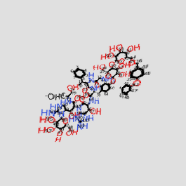 CC(c1ccccc1)[C@H](NC(=O)CN)C(=O)N[C@H](Cc1ccc(O[C@H]2O[C@H](CO)[C@@H](O[C@H]3O[C@H](COCc4ccc(Oc5ccccc5)cc4)[C@@H](O)[C@H](O)[C@@H]3O)[C@H](O)[C@@H]2O)cc1)C(=O)N[C@H](C(=O)N[C@@H](C(=O)N[C@H]([C]=O)CO)[C@H](O)C1CNC(=N)N1[C@H]1O[C@H](CO)[C@@H](O)[C@H](O)[C@@H]1O)C(O)C1CNC(=N)N1